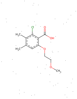 COCCOc1cc(C)c(C)c(Cl)c1C(=O)O